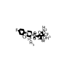 C[C@@H]1CN(c2ccc(F)cc2C(F)(F)F)CCN1S(=O)(=O)c1cc([C@@](O)(C(N)=O)C(F)(F)F)c(Br)s1